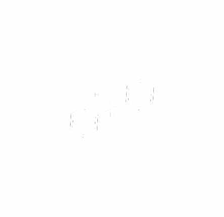 CCCC[PH](C)(c1ccccc1)c1ccccc1